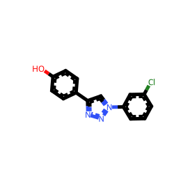 Oc1ccc(-c2cn(-c3cccc(Cl)c3)nn2)cc1